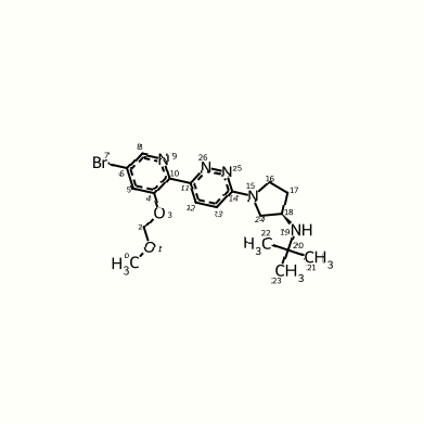 COCOc1cc(Br)cnc1-c1ccc(N2CC[C@@H](NC(C)(C)C)C2)nn1